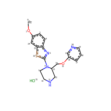 CC(C)Oc1ccc2nc(N3CCNCC3COc3cccnc3)sc2c1.Cl